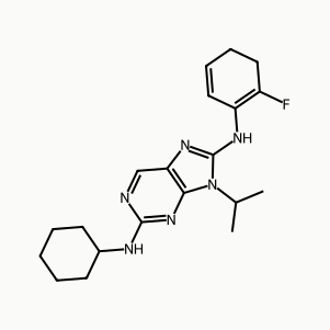 CC(C)n1c(NC2=C(F)CCC=C2)nc2cnc(NC3CCCCC3)nc21